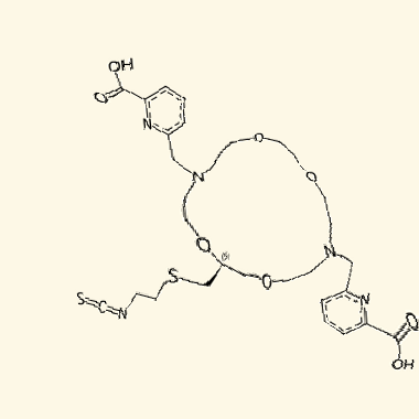 O=C(O)c1cccc(CN2CCOCCOCCN(Cc3cccc(C(=O)O)n3)CCO[C@H](CSCCN=C=S)COCC2)n1